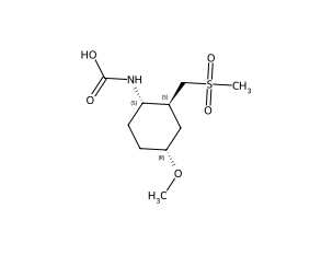 CO[C@@H]1CC[C@H](NC(=O)O)[C@@H](CS(C)(=O)=O)C1